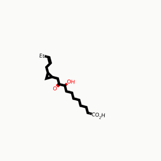 CC/C=C\CC1CC1CC(=O)C(O)CCCCCCCC(=O)O